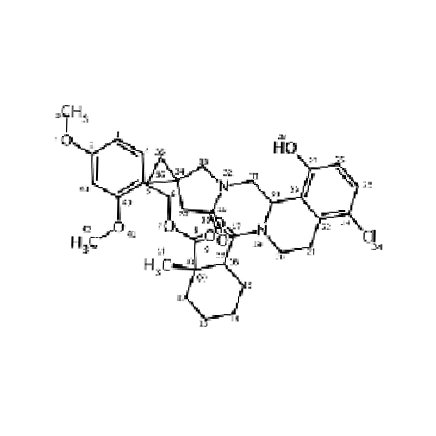 COc1ccc(COC(=O)[C@@]2(C)CCCCC2C(=O)N2CCc3c(Cl)ccc(O)c3C2CN2CC3(CC3)CC2=O)c(OC)c1